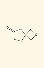 O=C1CCC2(COC2)C1